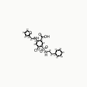 O=C(O)c1cc(S(=O)(=O)NCCc2ccccc2)c(Cl)cc1NCc1ccco1